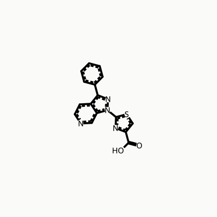 O=C(O)c1csc(-n2nc(-c3ccccc3)c3ccncc32)n1